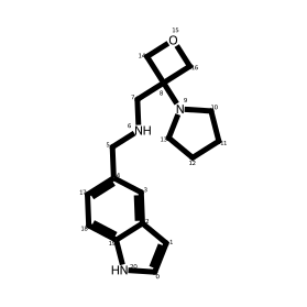 c1cc2cc(CNCC3(N4CCCC4)COC3)ccc2[nH]1